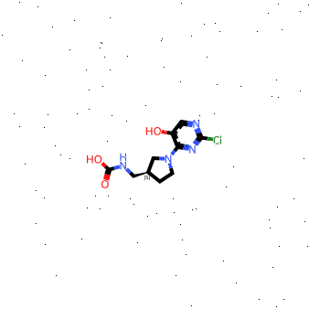 O=C(O)NC[C@@H]1CCN(c2nc(Cl)ncc2O)C1